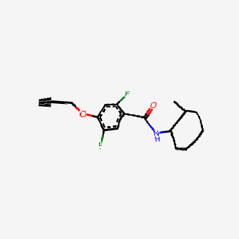 C#CCOc1cc(F)c(C(=O)NC2CCCCC2C)cc1F